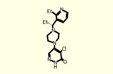 CCc1ncccc1[C@@H](CC)N1CCN(c2cn[nH]c(=O)c2Cl)CC1